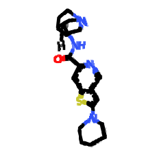 O=C(N[C@H]1CN2CCC1CC2)c1cc2sc(N3CCCCC3)cc2cn1